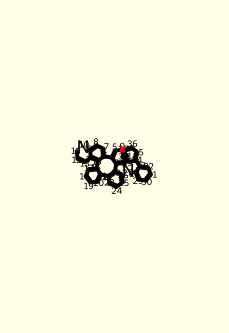 c1ccc2c(c1)-c1ccc3ncccc3c1-c1ccccc1-c1cccc(-n3c4ccccc4c4ccccc43)c1-2